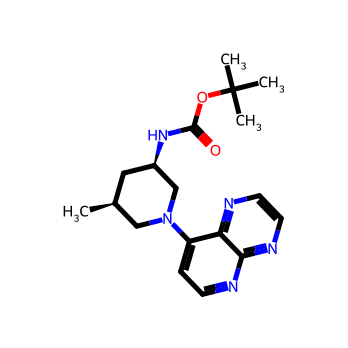 C[C@H]1C[C@@H](NC(=O)OC(C)(C)C)CN(c2ccnc3nccnc23)C1